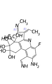 C/C=C(/C(=N\C)C(F)(F)F)c1nc2c(F)cc(N)c(C=N)c2c2c1C(O)(O)C(O)(O)C(O)(O)C2